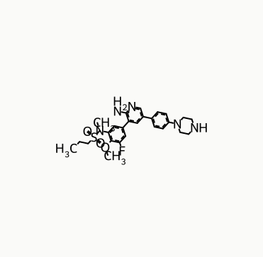 CCCS(=O)(=O)N(C)c1cc(-c2cc(-c3ccc(N4CCNCC4)cc3)cnc2N)cc(F)c1OC